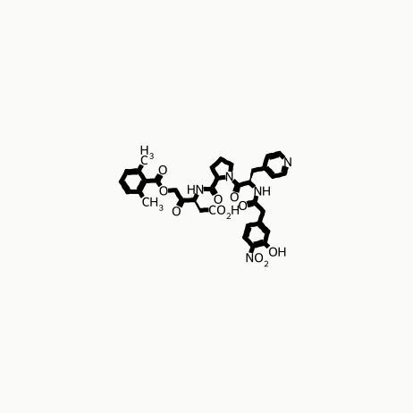 Cc1cccc(C)c1C(=O)OCC(=O)[C@H](CC(=O)O)NC(=O)C1CCCN1C(=O)[C@@H](Cc1ccncc1)NC(=O)Cc1ccc([N+](=O)[O-])c(O)c1